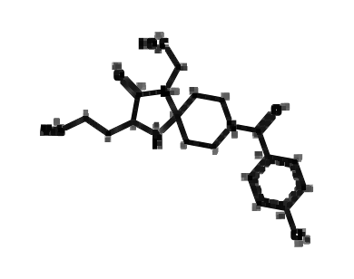 CSCCC1NC2(CCN(C(=O)c3ccc(C(F)(F)F)cc3)CC2)N(CC(=O)O)C1=O